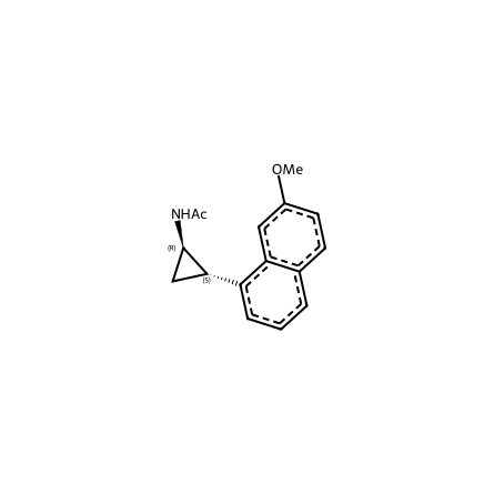 COc1ccc2cccc([C@@H]3C[C@H]3NC(C)=O)c2c1